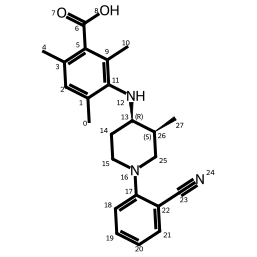 Cc1cc(C)c(C(=O)O)c(C)c1N[C@@H]1CCN(c2ccccc2C#N)C[C@@H]1C